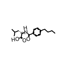 CCCCc1ccc(C(=O)N[C@@H](CC(C)C)C(=O)O)cc1